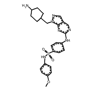 COc1ccc(NS(=O)(=O)c2ccc(Nc3ncc4cnn(CC5CCC(N)CC5)c4n3)cc2)cc1